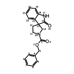 O=C(OCc1ccccc1)N1CCC2(C1)C(=O)Nc1ccccc12